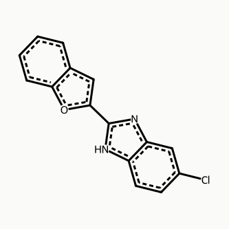 Clc1ccc2[nH]c(-c3cc4ccccc4o3)nc2c1